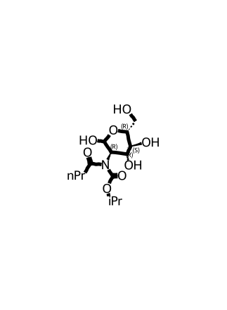 CCCC(=O)N(C(=O)OC(C)C)[C@H]1C(O)O[C@H](CO)[C@@H](O)[C@@H]1O